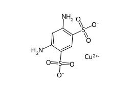 Nc1cc(N)c(S(=O)(=O)[O-])cc1S(=O)(=O)[O-].[Cu+2]